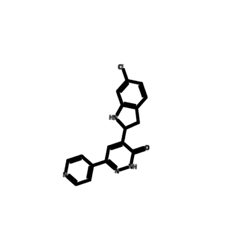 O=c1[nH]nc(-c2ccncc2)cc1C1Cc2ccc(Cl)cc2N1